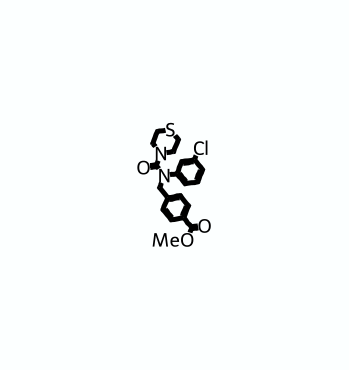 COC(=O)c1ccc(CN(C(=O)N2CCSCC2)c2cccc(Cl)c2)cc1